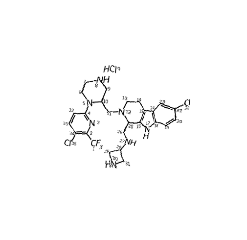 Cl.FC(F)(F)c1nc(N2CCNCC2CN2CCc3c([nH]c4ccc(Cl)cc34)C2CNC2CNC2)ccc1Cl